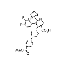 COC(=O)c1ccc(C2CCC(C3=C(C(=O)O)CN=C(c4nccs4)N3c3ccc(F)c(F)c3Cl)CC2)cc1